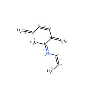 C=C/C=C\C(=C)/C(C)=N\C=C/C